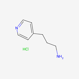 Cl.NCCCc1ccncc1